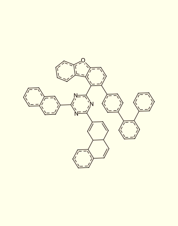 C1=CC2C=Cc3ccccc3C2C=C1c1nc(-c2ccc3ccccc3c2)nc(-c2c(-c3ccc(-c4ccccc4-c4ccccc4)cc3)ccc3oc4ccccc4c23)n1